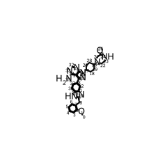 COc1ccccc1Cc1nc2cc(-c3nn(C4CCC(N5CCNC(=O)C5)CC4)c4ncnc(N)c34)ccc2[nH]1